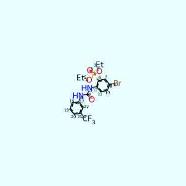 CCOP(=O)(OCC)c1cc(Br)ccc1NC(=O)Nc1cccc(C(F)(F)F)c1